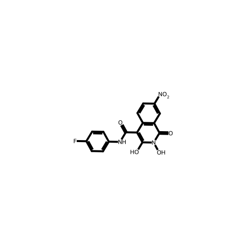 O=C(Nc1ccc(F)cc1)c1c(O)n(O)c(=O)c2cc([N+](=O)[O-])ccc12